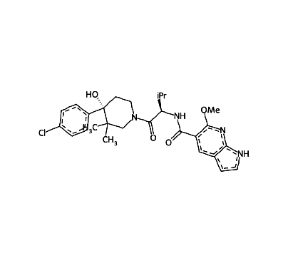 COc1nc2[nH]ccc2cc1C(=O)N[C@@H](C(=O)N1CC[C@](O)(c2ccc(Cl)cc2)C(C)(C)C1)C(C)C